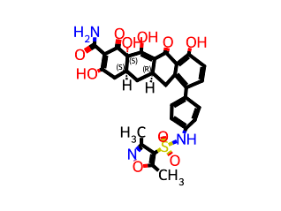 Cc1noc(C)c1S(=O)(=O)Nc1ccc(-c2ccc(O)c3c2C[C@H]2C[C@H]4CC(O)=C(C(N)=O)C(=O)[C@@]4(O)C(O)=C2C3=O)cc1